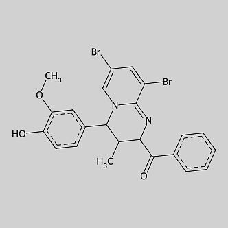 COc1cc(C2C(C)C(C(=O)c3ccccc3)N=C3C(Br)=CC(Br)=CN32)ccc1O